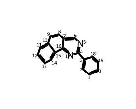 c1ccc(-c2ncc3ccc4ccccc4c3n2)cc1